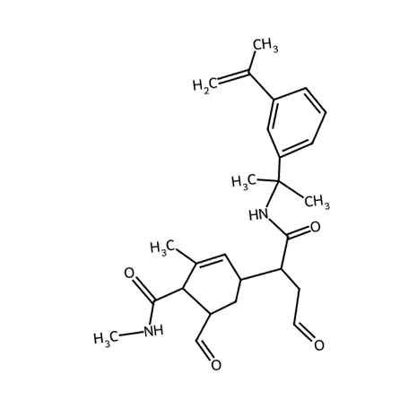 C=C(C)c1cccc(C(C)(C)NC(=O)C(CC=O)C2C=C(C)C(C(=O)NC)C(C=O)C2)c1